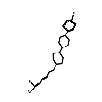 N#CC(F)=CC=CCC[C@H]1CC[C@H]([C@H]2CC[C@H](c3ccc(F)cc3)CC2)CC1